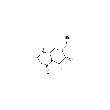 CCC(C)CN1CC2NCCC(=O)N2[C@@H](C)C1=O